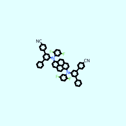 N#Cc1ccc(-c2cc(-c3ccccc3)cc(N(c3cc(F)ccc3F)c3ccc4ccc5c(N(c6cc(-c7ccccc7)cc(-c7ccc(C#N)cc7)c6)c6cc(F)ccc6F)ccc6ccc3c4c65)c2)cc1